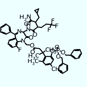 Cc1cc(C)c(C(C)(C)CC(=O)OCN2C(=O)C(NC(=O)C(CCC(F)(F)F)C(CC3CC3)C(N)=O)N=C(c3ccccc3)c3cccc(F)c32)c(OP(=O)(OCc2ccccc2)OCc2ccccc2)c1